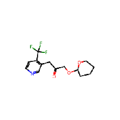 O=C(COC1CCCCO1)Cc1cnccc1C(F)(F)F